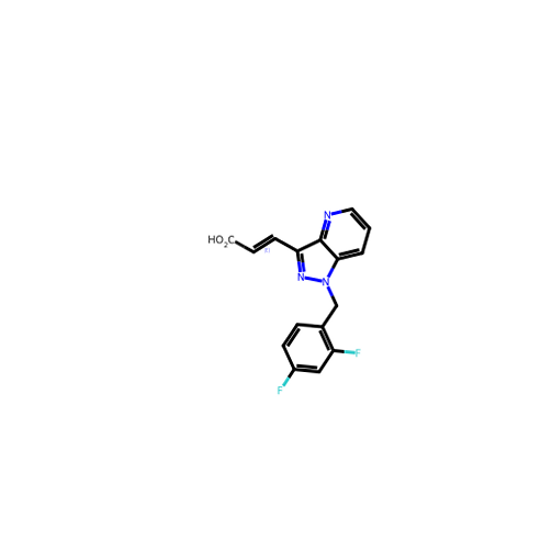 O=C(O)/C=C/c1nn(Cc2ccc(F)cc2F)c2cccnc12